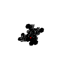 CCCN(CCC)C(=O)[C@@H](Cc1c[nH]c2ccccc12)NC(=O)[C@H](CCCNC(=N)N(C(=O)OC(C)(C)C)C(=O)OC(C)(C)C)NC(=O)[C@@H](Cc1ccccc1)NC(=O)[C@H](Cc1cn(C(c2ccccc2)(c2ccccc2)c2ccccc2)cn1)NC(=O)CNC(=O)c1ccccc1